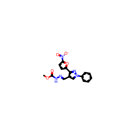 COC(=O)NN=Cc1cn(-c2ccccc2)nc1-c1ccc([N+](=O)[O-])o1